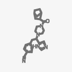 N#Cc1ccc(CC(c2cnc[nH]2)N2CCN(C(=O)C3CC4CCC3C4)CC2)cc1